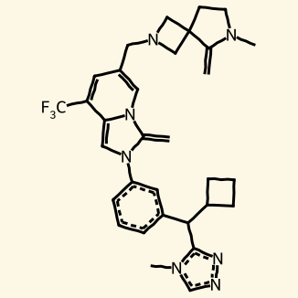 C=C1N2C=C(CN3CC4(CCN(C)C4=C)C3)C=C(C(F)(F)F)C2=CN1c1cccc(C(c2nncn2C)C2CCC2)c1